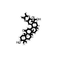 Cc1nc(C)c(CC2C3C4=CC(=O)C5C6(C)CCC(O)C(C)(C)C6CCC5(C)C4(C)CCC3(C)CCC2(C)C(=O)O)nc1C